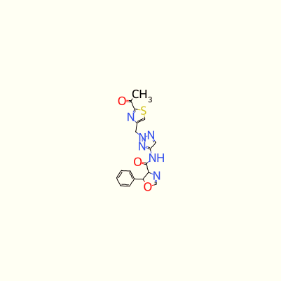 CC(=O)c1nc(Cn2ncc(NC(=O)C3N=COC3c3ccccc3)n2)cs1